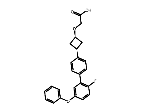 O=C(O)CO[C@H]1C[C@@H](c2ccc(-c3cc(Oc4ccccc4)ccc3F)cc2)C1